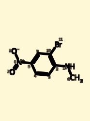 CNc1ccc([N+](=O)[O-])cc1Br